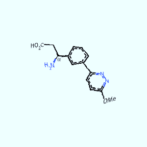 COc1ccc(-c2cccc([C@@H](N)CC(=O)O)c2)nn1